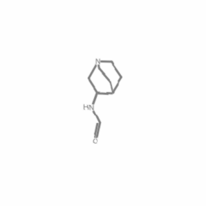 O=CNC1CN2CCC1CC2